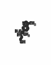 Cc1cnn2cc(C(C)(C)NCCO)ccc12